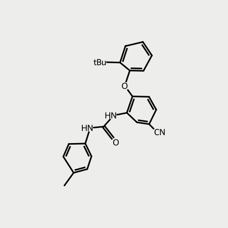 Cc1ccc(NC(=O)Nc2cc(C#N)ccc2Oc2ccccc2C(C)(C)C)cc1